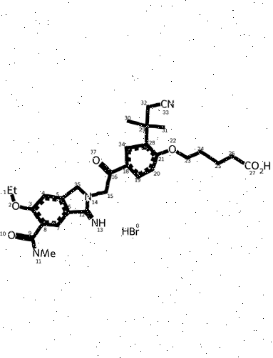 Br.CCOc1cc2c(cc1C(=O)NC)C(=N)N(CC(=O)c1ccc(OCCCCC(=O)O)c(C(C)(C)CC#N)c1)C2